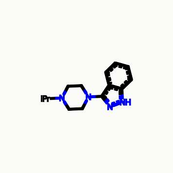 CC(C)N1CCN(c2n[nH]c3ccccc23)CC1